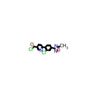 Cc1nc(-c2ccc(-c3ccc(C(=O)Cl)cn3)c(Cl)c2)no1